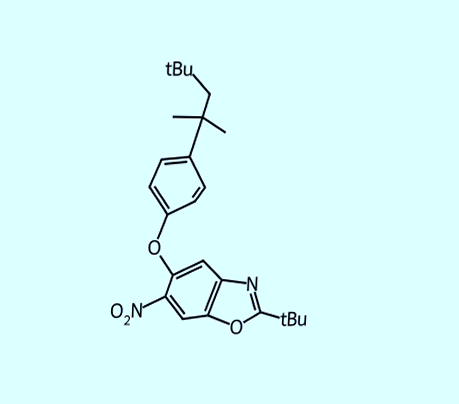 CC(C)(C)CC(C)(C)c1ccc(Oc2cc3nc(C(C)(C)C)oc3cc2[N+](=O)[O-])cc1